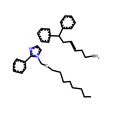 BCCC=CCC(c1ccccc1)c1ccccc1.CCCCCCCCCCn1ccnc1-c1ccccc1